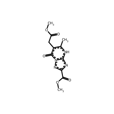 COC(=O)Cc1c(C)[nH]c2nc(C(=O)OC)nn2c1=O